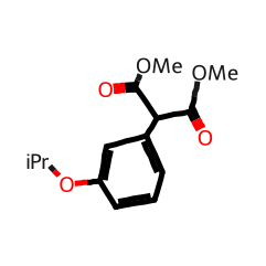 COC(=O)C(C(=O)OC)c1cccc(OC(C)C)c1